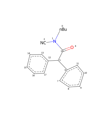 CCCCN(C#N)C(=O)C(c1ccccc1)c1ccccc1